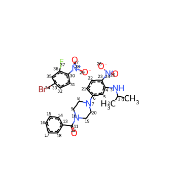 CC(C)Nc1cc(N2CCN(C(=O)c3ccccc3)CC2)ccc1[N+](=O)[O-].O=[N+]([O-])c1ccc(Br)cc1F